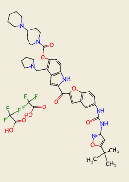 CC(C)(C)c1cc(NC(=O)Nc2ccc3oc(C(=O)c4cc5c(CN6CCCC6)c(OC(=O)N6CCC(N7CCCCC7)CC6)ccc5[nH]4)cc3c2)no1.O=C(O)C(F)(F)F.O=C(O)C(F)(F)F